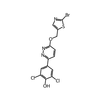 Oc1c(Cl)cc(-c2ccc(OCc3cnc(Br)s3)nn2)cc1Cl